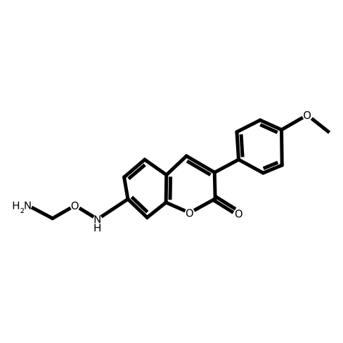 COc1ccc(-c2cc3ccc(NOCN)cc3oc2=O)cc1